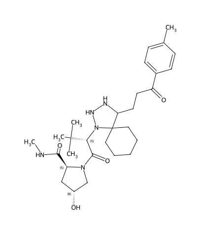 CNC(=O)[C@@H]1C[C@@H](O)CN1C(=O)[C@@H](N1NNC(CCC(=O)c2ccc(C)cc2)C12CCCCC2)C(C)(C)C